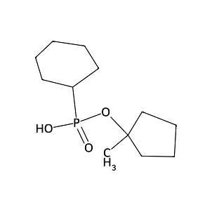 CC1(OP(=O)(O)C2CCCCC2)CCCC1